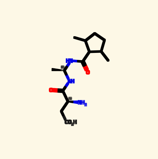 CC1CCC(C)C1C(=O)N[C@@H](C)NC(=O)[C@@H](N)CC(=O)O